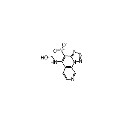 O=[N+]([O-])c1c(NCO)c2ccncc2n2nnnc12